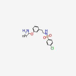 CCCC(N)Oc1cccc(CCNS(=O)(=O)c2ccc(Cl)cc2)c1